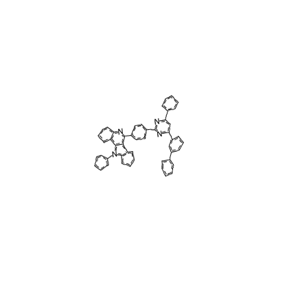 c1ccc(-c2cccc(-c3cc(-c4ccccc4)nc(-c4ccc(-c5nc6ccccc6c6c5c5ccccc5n6-c5ccccc5)cc4)n3)c2)cc1